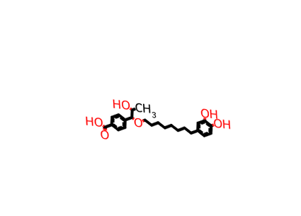 CC(O)C(OCCCCCCCCc1ccc(O)c(O)c1)c1ccc(C(=O)O)cc1